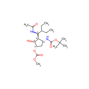 CCC(CC)[C@H](NC(C)=O)[C@@H]1[C@H](O)[C@@H](OC(=O)OC)C[C@H]1NC(=O)OC(C)(C)C